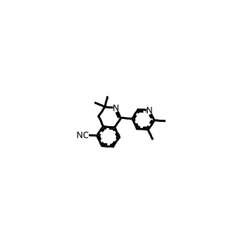 Cc1cc(C2=NC(C)(C)Cc3c(C#N)cccc32)cnc1C